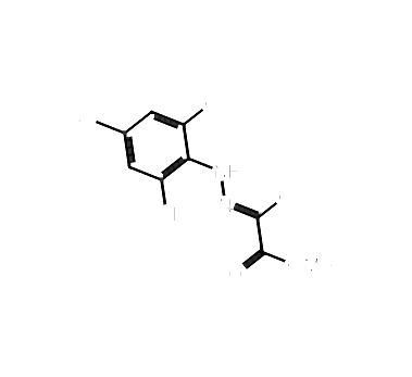 COC(=O)C(Cl)=NNc1c(Cl)cc(Cl)cc1Cl